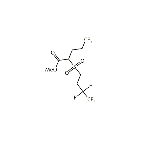 COC(=O)C(CCC(F)(F)F)S(=O)(=O)CCC(F)(F)C(F)(F)F